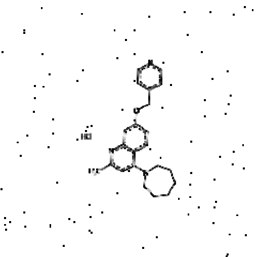 Cc1cc(N2CCCCCC2)c2ccc(OCc3ccncc3)cc2n1.Cl